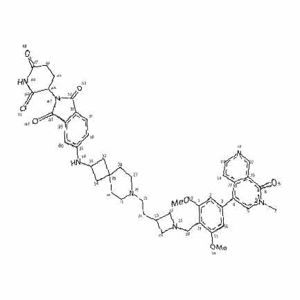 COc1cc(-c2cn(C)c(=O)c3cnccc23)cc(OC)c1CN1CC(CCN2CCC3(CC2)CC(Nc2ccc4c(c2)C(=O)N(C2CCC(=O)NC2=O)C4=O)C3)C1